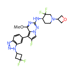 COc1nc(N[C@@H]2CCN(C3COC3)CC2(F)F)nn2cc(F)c(-c3ccc4nnn(C5CC(F)(F)C5)c4c3)c12